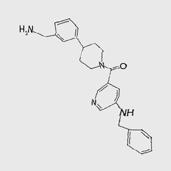 NCc1cccc(C2CCN(C(=O)c3cncc(NCc4ccccc4)c3)CC2)c1